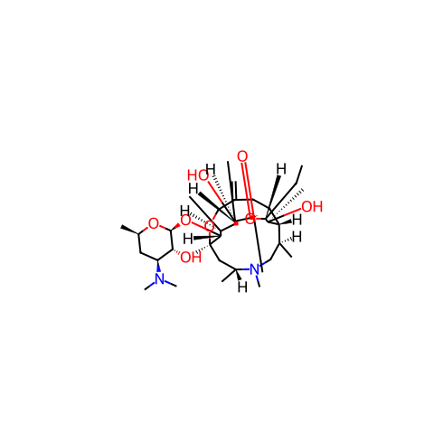 C=C1CC[C@@H]2[C@@H](C)CN(C)[C@H](C)C[C@@](C)(OC1)[C@H](O[C@@H]1O[C@H](C)C[C@H](N(C)C)[C@H]1O)[C@@H](C)[C@H](O)[C@@H](C)C(=O)O[C@H](CC)[C@@]2(C)O